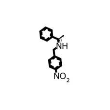 C[C@@H](NCc1ccc([N+](=O)[O-])cc1)c1ccccc1